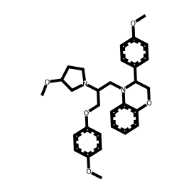 COc1ccc(OCC(CN2c3ccccc3OCC2c2ccc(OC)cc2)N2CCC(OC)C2)cc1